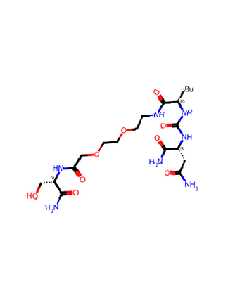 CCC(C)[C@@H](NC(=O)N[C@H](CC(N)=O)C(N)=O)C(=O)NCCOCCOCC(=O)N[C@@H](CO)C(N)=O